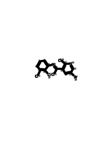 ClC(=Nc1cccc(Cl)c1Cl)c1cc(Br)cnc1Cl